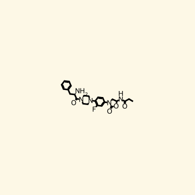 CCC(=O)NC1CN(c2ccc(N3CCN(C(=O)[C@@H](N)Cc4ccccc4)CC3)c(F)c2)C(=O)O1